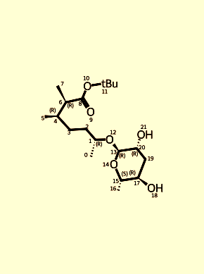 C[C@H](CC[C@@H](C)[C@@H](C)C(=O)OC(C)(C)C)O[C@@H]1O[C@@H](C)[C@H](O)C[C@H]1O